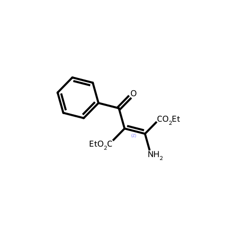 CCOC(=O)/C(N)=C(/C(=O)OCC)C(=O)c1ccccc1